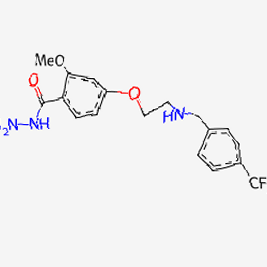 COc1cc(OCCNCc2ccc(C(F)(F)F)cc2)ccc1C(=O)NN